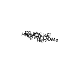 COc1cc(O)c(-c2cn3ccc(N4CCC(NC(=O)O)C4)cc3n2)cc1Cl